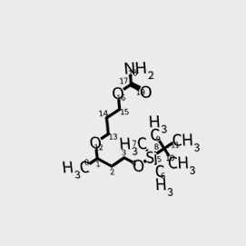 CC(CCO[Si](C)(C)C(C)(C)C)OCCCOC(N)=O